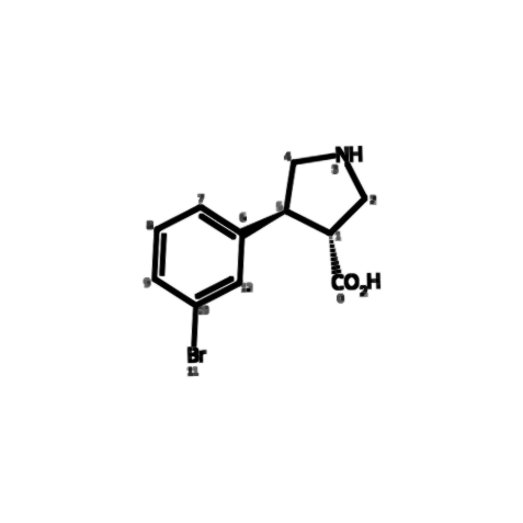 O=C(O)[C@H]1CNC[C@@H]1c1cccc(Br)c1